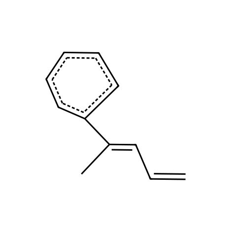 C=CC=C(C)c1ccccc1